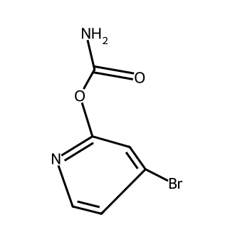 NC(=O)Oc1cc(Br)ccn1